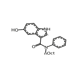 CCCCCCCCN(C(=O)c1[c][nH]c2ccc(O)cc12)c1ccccc1